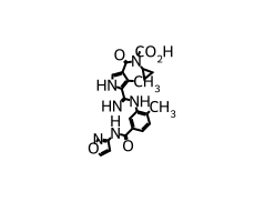 Cc1ccc(C(=O)Nc2ccon2)cc1NC(=N)c1[nH]cc(C(=O)N(C(=O)O)C2CC2)c1C